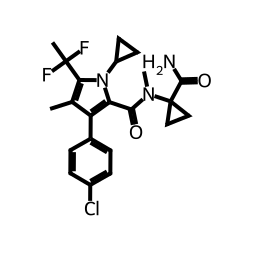 Cc1c(-c2ccc(Cl)cc2)c(C(=O)N(C)C2(C(N)=O)CC2)n(C2CC2)c1C(C)(F)F